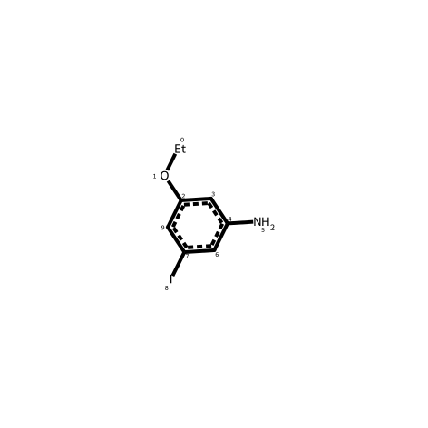 CCOc1cc(N)cc(I)c1